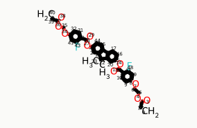 C=CC(=O)OCCOc1ccc(C(=O)Oc2ccc3c(c2)C(C)(C)c2cc(OC(=O)c4ccc(OCOC(=O)C=C)cc4F)ccc2-3)c(F)c1